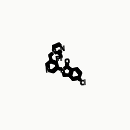 CC(C)c1nccn1Cc1cncc(N2Cc3cc(Cl)ccc3C2=O)c1